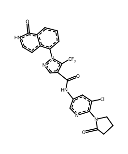 O=C(Nc1cnc(N2CCCC2=O)c(Cl)c1)c1cnn(-c2cccc3c(=O)[nH]ccc23)c1C(F)(F)F